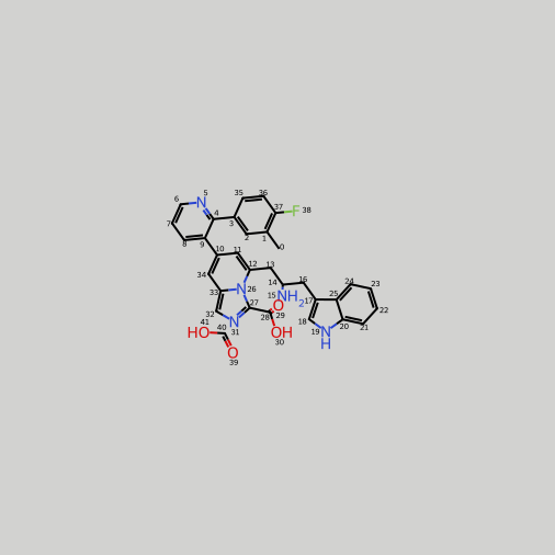 Cc1cc(-c2ncccc2-c2cc(CC(N)Cc3c[nH]c4ccccc34)n3c(C(=O)O)ncc3c2)ccc1F.O=CO